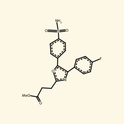 COC(=O)CCc1nc(-c2ccc(F)cc2)c(-c2ccc(S(N)(=O)=O)cc2)o1